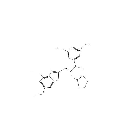 CCOc1cc(C(=O)O)c2nc(C[C@H](OC3CCCC3)[C@H](O)c3cc(OC)cc(OC)c3)sc2c1